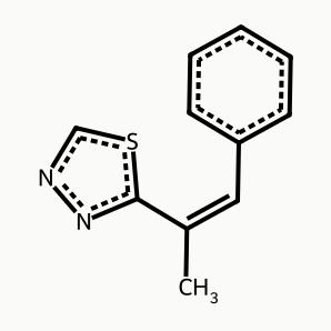 CC(=Cc1ccccc1)c1nncs1